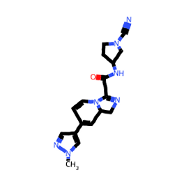 Cn1cc(C2=CC3CN=C(C(=O)NC4CCN(C#N)C4)N3C=C2)cn1